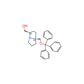 OC[C@H]1CC[C@]2(COC(c3ccccc3)(c3ccccc3)c3ccccc3)CCCN12